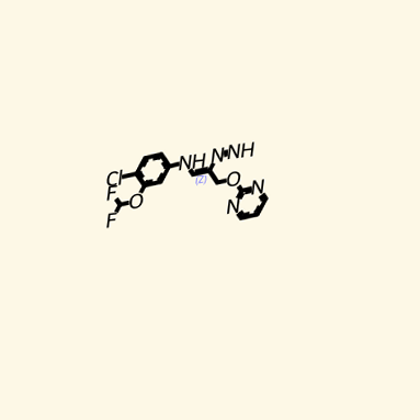 N=N/C(=C\Nc1ccc(Cl)c(OC(F)F)c1)COc1ncccn1